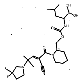 CC(C)CC(NC(=O)OC[C@H]1CCCCN1C(=O)C(C#N)=CC(C)(C)N1CCC(F)(F)C1)B(O)O